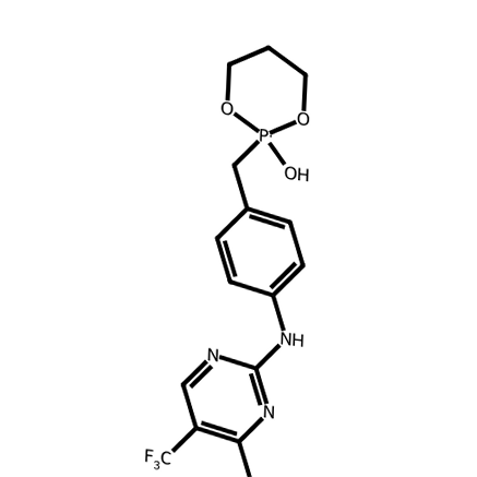 O[P]1(Cc2ccc(Nc3ncc(C(F)(F)F)c(Cl)n3)cc2)OCCCO1